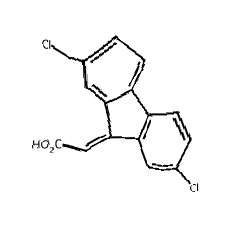 O=C(O)C=C1c2cc(Cl)ccc2-c2ccc(Cl)cc21